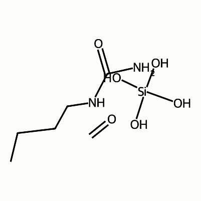 C=O.CCCCNC(N)=O.O[Si](O)(O)O